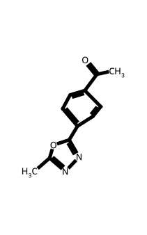 CC(=O)c1ccc(-c2nnc(C)o2)cc1